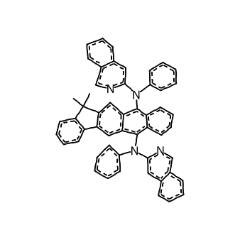 CC1(C)c2ccccc2-c2cc3c(N(c4ccccc4)c4cc5ccccc5cn4)c4ccccc4c(N(c4ccccc4)c4cc5ccccc5cn4)c3cc21